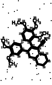 COc1ccc(C2CC3CCCCN3C(C#N)=C2c2ccc(OC)c(OC)c2OC)cc1OC